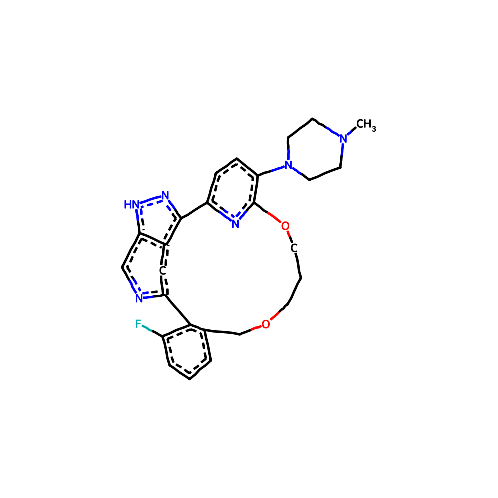 CN1CCN(c2ccc3nc2OCCCOCc2cccc(F)c2-c2cc4c-3n[nH]c4cn2)CC1